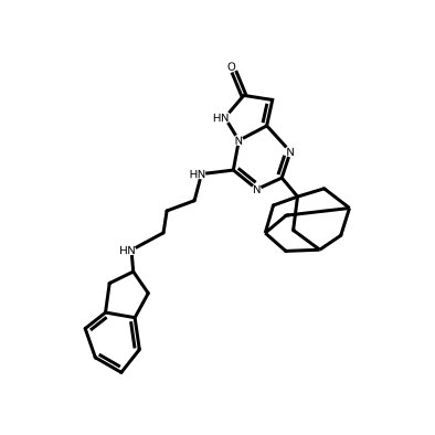 O=c1cc2nc(C34CC5CC(CC(C5)C3)C4)nc(NCCCNC3Cc4ccccc4C3)n2[nH]1